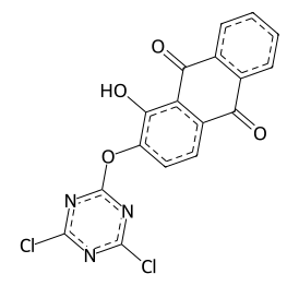 O=C1c2ccccc2C(=O)c2c1ccc(Oc1nc(Cl)nc(Cl)n1)c2O